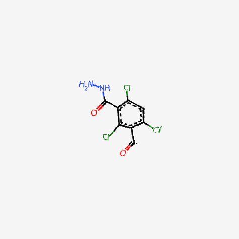 NNC(=O)c1c(Cl)cc(Cl)c([C]=O)c1Cl